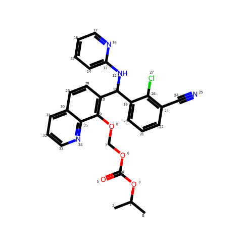 CC(C)OC(=O)OCOc1c(C(Nc2ccccn2)c2cccc(C#N)c2Cl)ccc2cccnc12